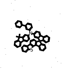 CC1(C)c2ccccc2-c2ccc(N(c3cccc(-c4ccccc4)c3)c3ccc4c(c3)C3(c5ccccc5-4)c4ccccc4-c4c3ccc3c4sc4ccccc43)cc21